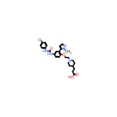 Cn1nccc1-c1cc(NC(=O)Nc2ccc(Cl)cc2)ccc1OCCN1CCC(CCC(=O)O)CC1